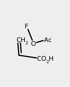 C=CC(=O)O.CC(=O)OF